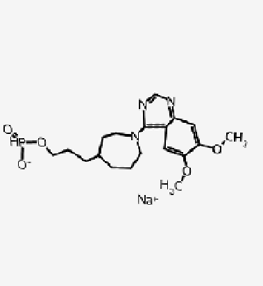 COc1cc2ncnc(N3CCCC(CCCO[PH](=O)[O-])CC3)c2cc1OC.[Na+]